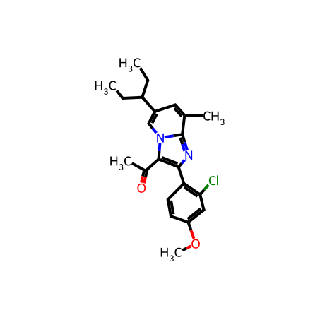 CCC(CC)c1cc(C)c2nc(-c3ccc(OC)cc3Cl)c(C(C)=O)n2c1